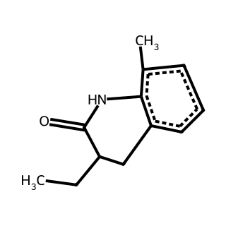 CCC1Cc2cccc(C)c2NC1=O